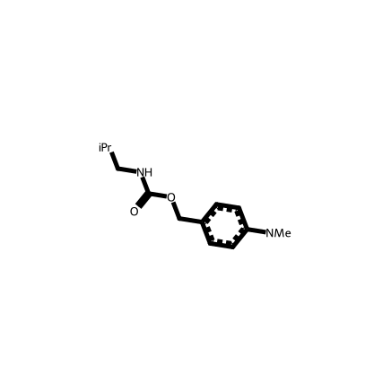 CNc1ccc(COC(=O)NCC(C)C)cc1